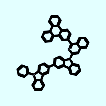 c1ccc(-n2c3ccccc3c3cc(-c4ccc5c(c4)c4ccccc4n5-c4cc5ccccc5c(-c5ccc6c7ccccc7c7ccccc7c6c5)n4)ccc32)cc1